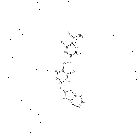 NC(=O)c1ccc(COc2coc(CN3Cc4ccccc4C3)cc2=O)cc1F